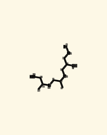 CCOCC(O)COC(C)COC(C)CO